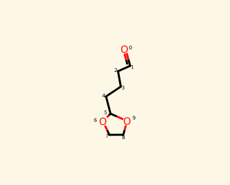 O=CCCCC1OCCO1